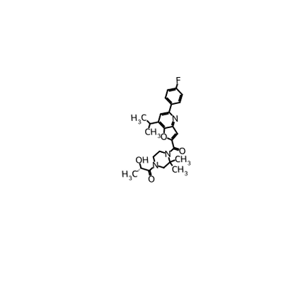 CC(C)c1cc(-c2ccc(F)cc2)nc2cc(C(=O)N3CCN(C(=O)[C@H](C)O)CC3(C)C)oc12